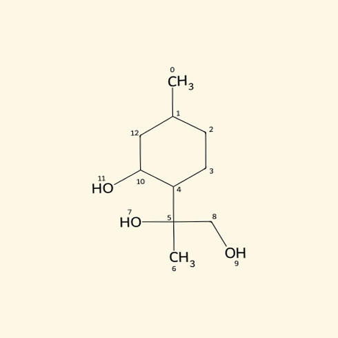 CC1CCC(C(C)(O)CO)C(O)C1